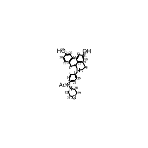 CC(=O)N(c1ccc(N2CCc3cc(O)ccc3C2Cc2ccc(O)cc2)cc1)N1CCOCC1